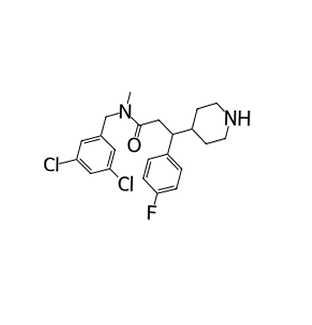 CN(Cc1cc(Cl)cc(Cl)c1)C(=O)CC(c1ccc(F)cc1)C1CCNCC1